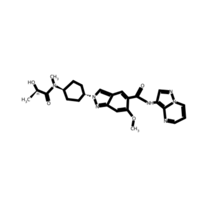 COc1cc2nn([C@H]3CC[C@H](N(C)C(=O)[C@@H](C)O)CC3)cc2cc1C(=O)Nc1cnn2cccnc12